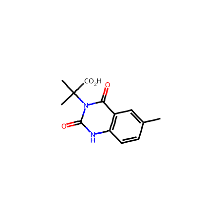 Cc1ccc2[nH]c(=O)n(C(C)(C)C(=O)O)c(=O)c2c1